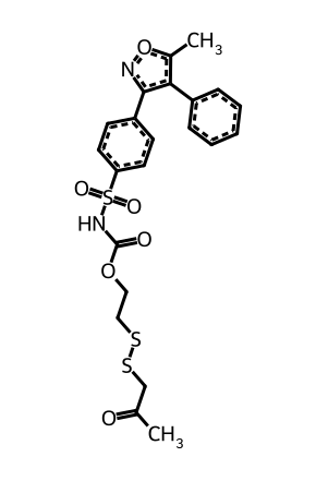 CC(=O)CSSCCOC(=O)NS(=O)(=O)c1ccc(-c2noc(C)c2-c2ccccc2)cc1